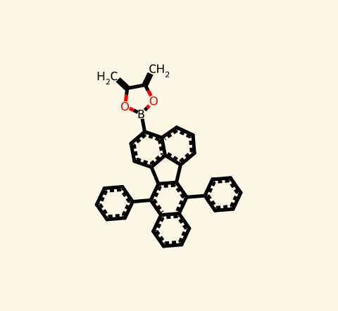 C=C1OB(c2ccc3c4c(cccc24)-c2c-3c(-c3ccccc3)c3ccccc3c2-c2ccccc2)OC1=C